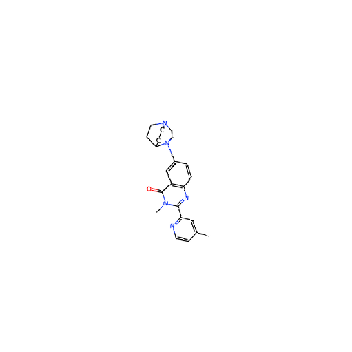 Cc1ccnc(-c2nc3ccc(N4CCN5CCC4CC5)cc3c(=O)n2C)c1